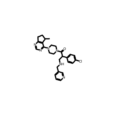 CC1CCc2ncnc(N3CCN(C(=O)C(CNCc4cccnc4)c4ccc(Cl)cc4)CC3)c21